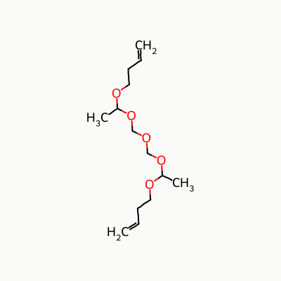 C=CCCOC(C)OCOCOC(C)OCCC=C